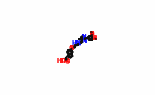 COc1ccc(-c2ncc(C)c(CNCCCOc3ccc4c(c3)CC[C@H]4CC(=O)O)n2)cc1OC